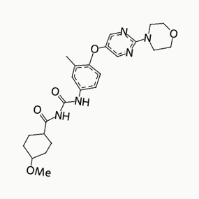 COC1CCC(C(=O)NC(=O)Nc2ccc(Oc3cnc(N4CCOCC4)nc3)c(C)c2)CC1